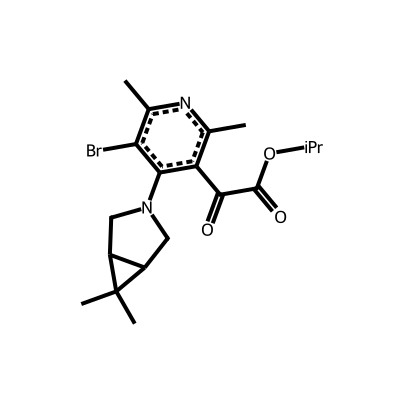 Cc1nc(C)c(C(=O)C(=O)OC(C)C)c(N2CC3C(C2)C3(C)C)c1Br